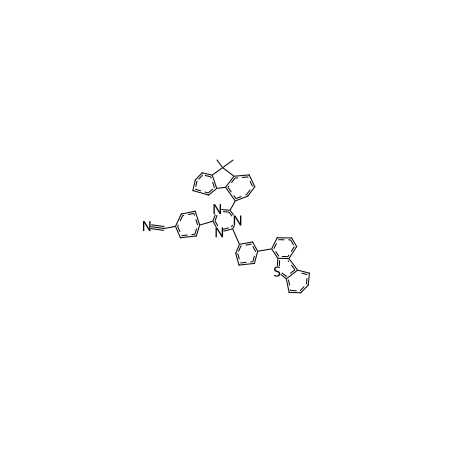 CC1(C)c2ccccc2-c2c(-c3nc(-c4ccc(C#N)cc4)nc(-c4cccc(-c5cccc6c5sc5ccccc56)c4)n3)cccc21